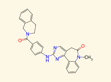 CN1C(=O)Cc2cnc(Nc3ccc(C(=O)N4CCc5ccccc5C4)cc3)nc2-c2ccccc21